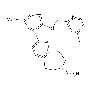 COc1ccc(OCc2cc(C)ccn2)c(-c2ccc3c(c2)CCN(C(=O)O)CC3)c1